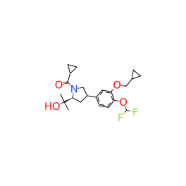 CC(C)(O)[C@@H]1CC(c2ccc(OC(F)F)c(OCC3CC3)c2)CN1C(=O)C1CC1